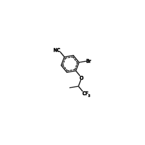 CC(Oc1ccc(C#N)cc1Br)C(F)(F)F